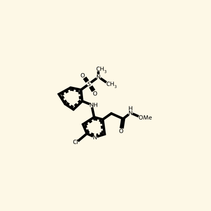 CONC(=O)Cc1cnc(Cl)cc1Nc1ccccc1S(=O)(=O)N(C)C